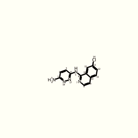 Nc1ccc(Nc2nccc3ccc(Cl)cc23)nn1